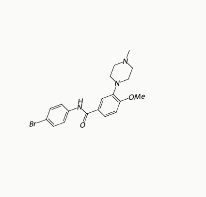 COc1ccc(C(=O)Nc2ccc(Br)cc2)cc1N1CCN(C)CC1